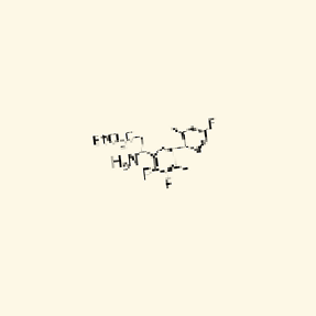 CCOC(=O)CC(N)c1cc(-c2ccc(F)cc2C)c(C)c(F)c1F